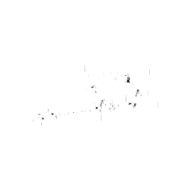 C=Cc1ccccc1N(Cc1ccccc1C)C(=O)CCC(=O)NCCOCCOCCOCCOCCC(=O)NC(CCC(=O)NCCCCCC(=O)N[C@@H](CCC(=O)N[C@H](C)CCCOP(=O)(O)CC(CCC(=O)O)C(=O)O)C(=O)O)C(=O)NC(CCCCNC(=O)CCCc1ccc(I)cc1)C(=O)O